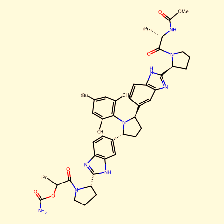 COC(=O)N[C@H](C(=O)N1CCC[C@H]1c1nc2cc([C@H]3CC[C@H](c4ccc5nc([C@@H]6CCCN6C(=O)C(OC(N)=O)C(C)C)[nH]c5c4)N3c3c(C)cc(C(C)(C)C)cc3C)ccc2[nH]1)C(C)C